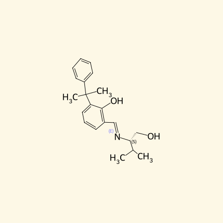 CC(C)[C@@H](CO)/N=C/c1cccc(C(C)(C)c2ccccc2)c1O